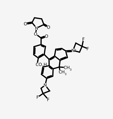 CC1(C)C2=CC(=[N+]3CC(F)(F)C3)C=CC2=C(c2cc(C(=O)ON3C(=O)CCC3=O)ccc2C(=O)O)c2ccc(N3CC(F)(F)C3)cc21